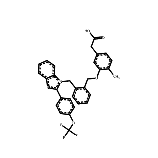 Cc1ccc(CC(=O)O)cc1OCc1ccccc1Cn1c(-c2ccc(OC(F)(F)F)cc2)nc2ccccc21